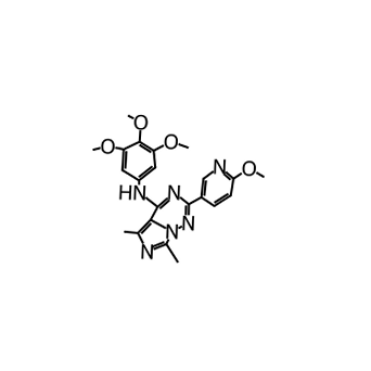 COc1ccc(-c2nc(Nc3cc(OC)c(OC)c(OC)c3)c3c(C)nc(C)n3n2)cn1